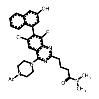 CC(=O)N1CCN(c2nc(CCCC(=O)N(C)C)nc3c(F)c(-c4cc(O)cc5ccccc45)c(Cl)cc23)CC1